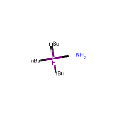 CCCC[PH](C)(CCCC)CCCC.N